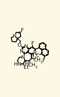 CC[C@@H]1NCCN2c3nc(OC[C@@]45CCCN4C[C@H](F)C5)nc4c(F)c(-c5cccc6ccc(F)c(C)c56)nc(c34)[C@@H](C)[C@H](C)[C@@H]12